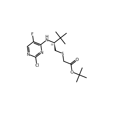 CC(C)(C)OC(=O)CSC[C@@H](Nc1nc(Cl)ncc1F)C(C)(C)C